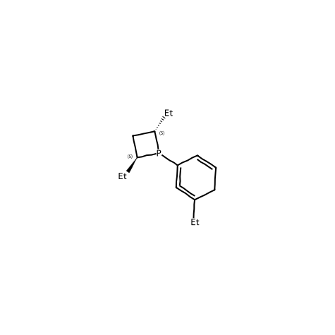 CCC1=C=C(P2[C@@H](CC)C[C@@H]2CC)C=CC1